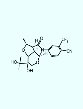 C[C@@H]1O[C@]2(C[C@](C)(O)CO)CCO[C@H]3[C@@H]2[C@@H]1C(=O)N3c1ccc(C#N)c(C(F)(F)F)c1